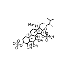 CNS(=O)(=O)O[C@@H]1[C@H]2O[C@@H]([C@@H](C)C(C)C)C[C@@H](C)[C@@H]2[C@@]2(C)CC[C@H]3[C@@H]([C@@H](O)[C@@H](O)[C@H]4[C@@H](O)[C@H](OS(=O)(=O)[O-])CC[C@@]43C)[C@H]12.[Na+]